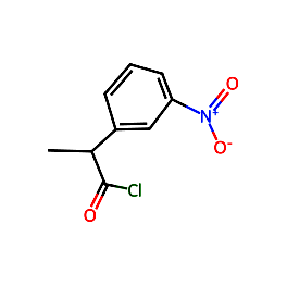 CC(C(=O)Cl)c1cccc([N+](=O)[O-])c1